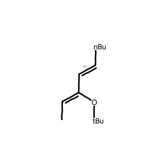 CC=C(/C=C/CCCC)OC(C)(C)C